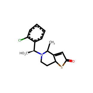 CC1C2=CC(=O)SC2CCN1[C@@H](C(=O)O)c1ccccc1Cl